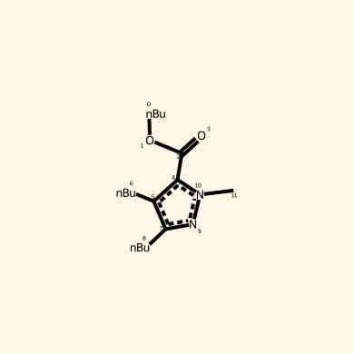 CCCCOC(=O)c1c(CCCC)c(CCCC)nn1C